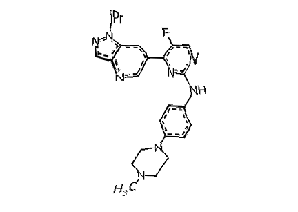 CC(C)n1ncc2ncc(-c3nc(Nc4ccc(N5CCN(C)CC5)cc4)ncc3F)cc21